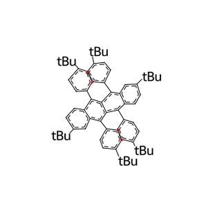 CC(C)(C)c1ccc(-c2c3ccc(C(C)(C)C)cc3c(-c3ccc(C(C)(C)C)cc3)c3c(-c4ccc(C(C)(C)C)cc4)c4ccc(C(C)(C)C)cc4c(-c4ccc(C(C)(C)C)cc4)c23)cc1